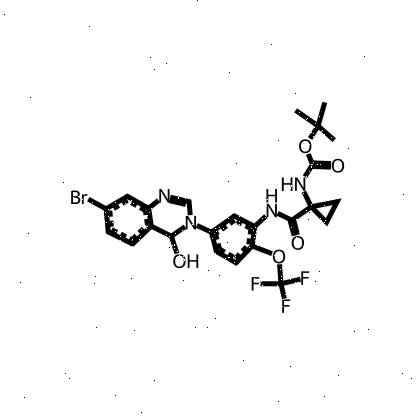 CC(C)(C)OC(=O)NC1(C(=O)Nc2cc(N3C=Nc4cc(Br)ccc4C3O)ccc2OC(F)(F)F)CC1